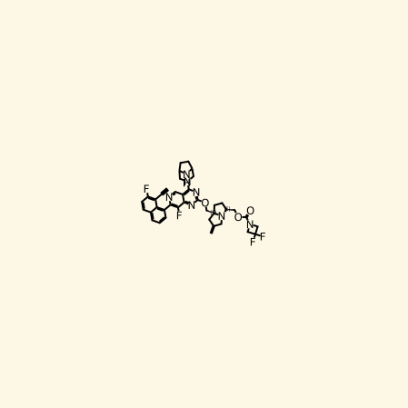 C#Cc1c(F)ccc2cccc(-c3ncc4c(N5CC6CCC(C5)N6)nc(OC[C@@]56CC[C@@H](COC(=O)N7CC(F)(F)C7)N5CC(=C)C6)nc4c3F)c12